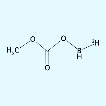 [3H]BOC(=O)OC